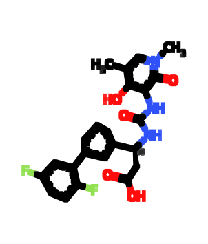 Cc1cn(C)c(=O)c(NC(=O)N[C@@H](CC(=O)O)c2cccc(-c3cc(F)ccc3F)c2)c1O